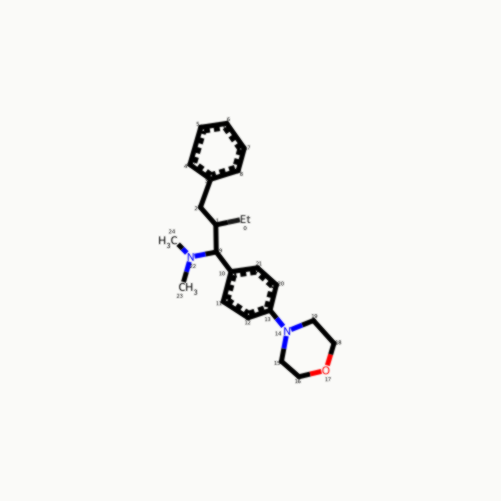 CCC(Cc1ccccc1)C(c1ccc(N2CCOCC2)cc1)N(C)C